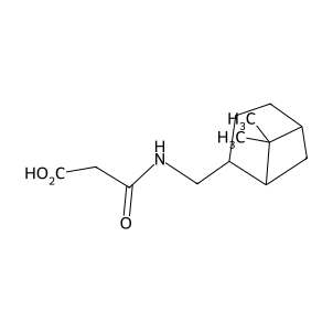 CC1(C)C2CCC(CNC(=O)CC(=O)O)C1C2